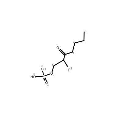 CCCCC(=O)C(S)COP(=O)(O)O